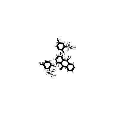 C=C1c2ccccc2C(=O)c2c(Nc3ccc(I)cc3S(=O)(=O)O)ccc(Nc3ccc(C)cc3S(=O)(=O)O)c21